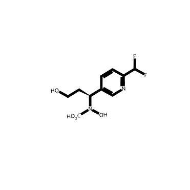 O=C(O)N(O)[C@@H](CCO)c1ccc(C(F)F)nc1